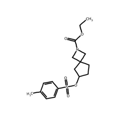 CCOC(=O)N1CC2(CCC(OS(=O)(=O)c3ccc(C)cc3)C2)C1